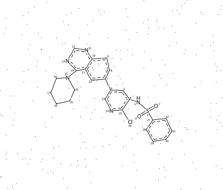 O=S(=O)(Nc1cc(-c2ccc3ncnc(N4CCCCC4)c3c2)cnc1Cl)c1ccccc1